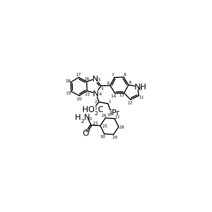 CC(C)CC(C(=O)O)n1c(-c2ccc3[nH]ccc3c2)nc2ccccc21.NC(=O)C1CCCCC1